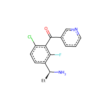 CC[C@H](N)c1ccc(Cl)c(C(=O)c2cccnc2)c1F